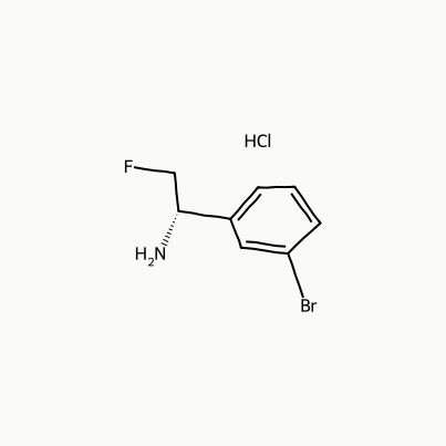 Cl.N[C@H](CF)c1cccc(Br)c1